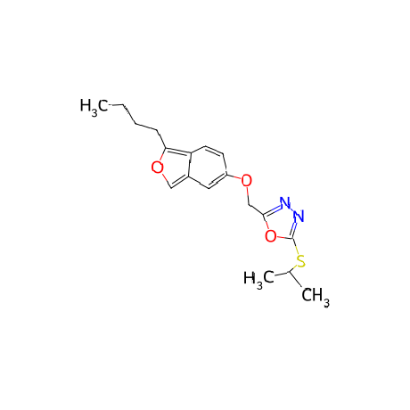 CCCCc1occ2cc(OCc3nnc(SC(C)C)o3)ccc12